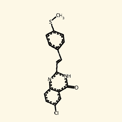 CSc1ccc(C=Cc2nc3ccc(Cl)cc3c(=O)[nH]2)cc1